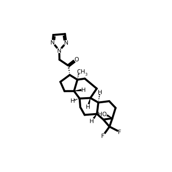 C[C@]12CC[C@@H]3[C@H]4CC[C@@]5(O)C([C@@H]4CC[C@H]3[C@@H]1CC[C@@H]2C(=O)Cn1nccn1)C5(F)F